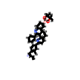 C=C/C=C\c1ccc(-c2ccc3ccc4c5cc(B6OC(C)(C)C(C)(C)O6)ccc5nc(-c5ccccc5)c4c3n2)cc1C